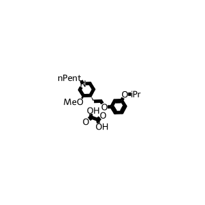 CCCCCN1CC[C@H](CCOc2cccc(OC(C)C)c2)[C@@H](OC)C1.O=C(O)C(=O)O